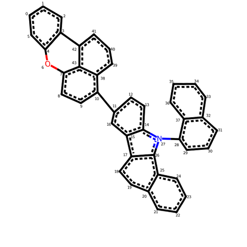 c1ccc2c(c1)Oc1ccc(-c3ccc4c(c3)c3ccc5ccccc5c3n4-c3cccc4ccccc34)c3cccc-2c13